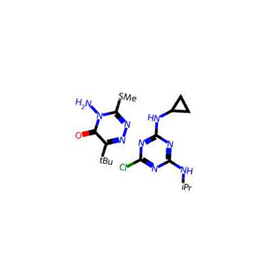 CC(C)Nc1nc(Cl)nc(NC2CC2)n1.CSc1nnc(C(C)(C)C)c(=O)n1N